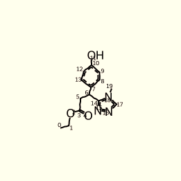 CCOC(=O)CC(c1ccc(O)cc1)c1nncn1C